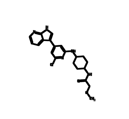 COCC(=O)NC1CCC(Nc2cc(-c3c[nH]c4ncccc34)cc(Cl)n2)CC1